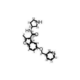 Cc1oc2ccc(OCc3cccnc3)cc2c1C(=O)NC1CCNC1